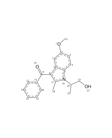 COc1ccc2c(c1)c(C(=O)c1ccccc1)c(C)n2C(C)CO